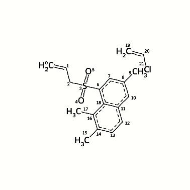 C=CCS(=O)(=O)c1cc(C)cc2ccc(C)c(C)c12.C=CCl